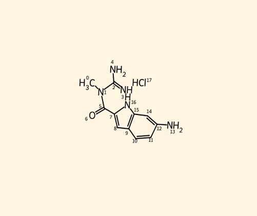 CN(C(=N)N)C(=O)c1cc2ccc(N)cc2[nH]1.Cl